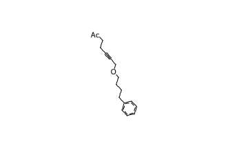 CC(=O)CCC#CCOCCCCc1ccccc1